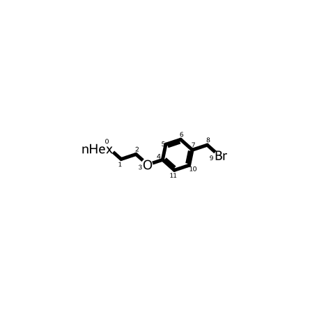 CCCCCCCCOc1ccc(CBr)cc1